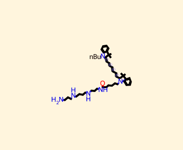 CCCCN1/C(=C/C=C/C=C/C=C/C2=[N+](CCCCCC(=O)NCCCNCCCCNCCCN)c3ccccc3C2(C)C)C(C)(C)c2ccccc21